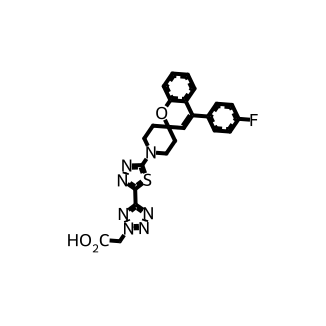 O=C(O)Cn1nnc(-c2nnc(N3CCC4(C=C(c5ccc(F)cc5)c5ccccc5O4)CC3)s2)n1